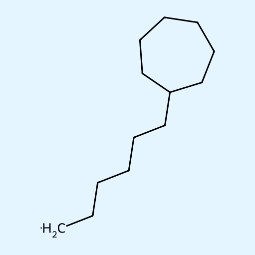 [CH2]CCCCCC1CCCCCC1